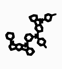 Cc1ccc(N(c2cccc(-n3c4ccccc4c4cc5ccn(-c6ccccc6)c5cc43)c2)c2ccc3c(c2)c2ccccc2n3-c2ccc(C)cc2)cc1